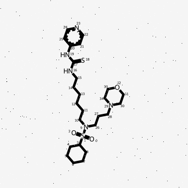 O=S(=O)(C1CCCCC1)N(CCCCCCNC(=S)Nc1ccncc1)CCCN1CCOCC1